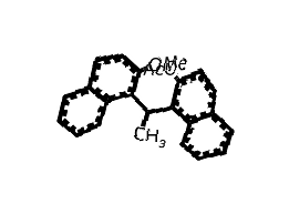 COc1ccc2ccccc2c1C(C)c1c(OC(C)=O)ccc2ccccc12